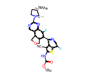 CN[C@H]1CCN(c2ncc3c4c(c(-c5ncc(F)c6sc(NC(=O)OC(C)(C)C)c(C#N)c56)c(F)c3n2)COC4)[C@H]1C